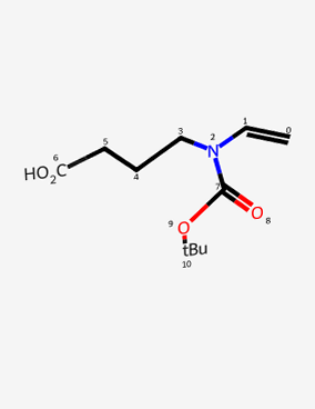 C=CN(CCCC(=O)O)C(=O)OC(C)(C)C